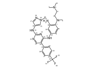 CN(C)CCN(C)c1ccc(Nc2nc(Nc3cnn(C)c3)ncc2-c2ccc(C(F)(F)F)cc2)cc1N